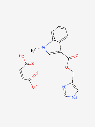 Cn1cc(C(=O)OCc2c[nH]cn2)c2ccccc21.O=C(O)/C=C\C(=O)O